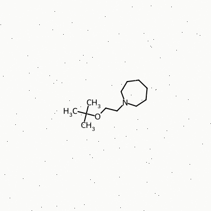 CC(C)(C)OCCN1CCCCCC1